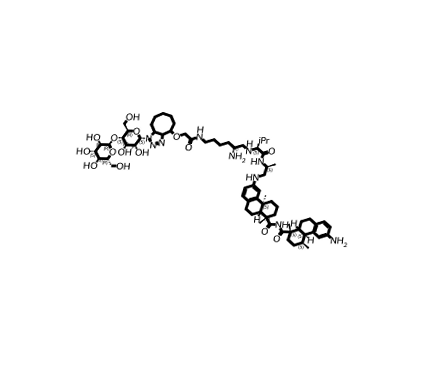 CC(C)[C@H](NC[C@H](N)CCCCNC(=O)COC1CCCCCC2C1N=NN2[C@H]1O[C@H](CO)[C@@H](O[C@H]2O[C@H](CO)[C@@H](O)[C@H](O)[C@H]2O)[C@H](O)[C@H]1O)C(=O)N[C@@H](C)CNc1ccc2c(c1)[C@@]1(C)CCC[C@](C)(C(=O)NC(=O)[C@@]3(C)CC[C@H](C)[C@@H]4c5cc(N)ccc5CC[C@H]43)[C@@H]1CC2